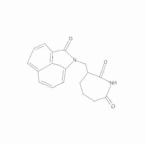 O=C1CCCC(CN2C(=O)c3cccc4cccc2c34)C(=O)N1